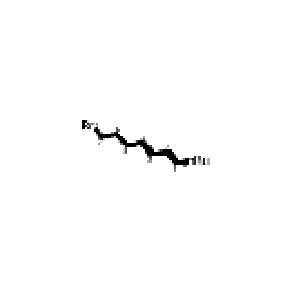 CCCCC=CC=CCCCBr